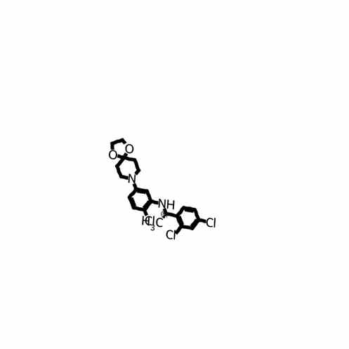 C[C@@H](Nc1cc(N2CCC3(CC2)OCCO3)ccc1Cl)c1ccc(Cl)cc1Cl